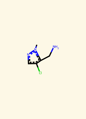 Cn1ncc(Cl)c1CN